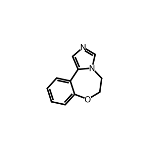 c1ccc2c(c1)OCCn1cncc1-2